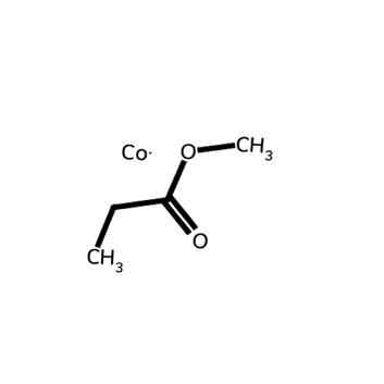 CCC(=O)OC.[Co]